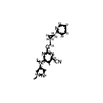 CN(c1cnn(C)c1)c1cc(C#N)nc(OC[C@H]2C[C@@H]2c2ccccn2)n1